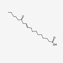 CCCCCC(=O)C/C=C/CCCCCCCCC(=O)O